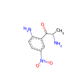 CC(N)C(=O)c1cc([N+](=O)[O-])ccc1N